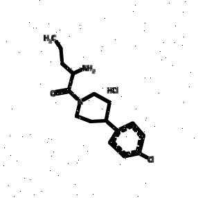 CCCC(N)C(=O)N1CCC(c2ccc(Cl)cc2)CC1.Cl